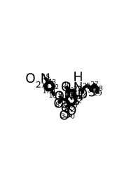 CS(=O)(=O)OC1=C(C(=O)OCc2ccc([N+](=O)[O-])cc2)N2C(=O)[C@@H](NC(=O)Cc3cccs3)[C@H]2SC1